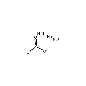 N.O=S([O-])[O-].[Na+].[Na+]